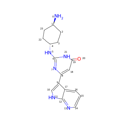 N[C@H]1CC[C@H](Nc2nc(-c3c[nH]c4ncccc34)cc(=O)[nH]2)CC1